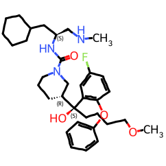 CNC[C@H](CC1CCCCC1)NC(=O)N1CCC[C@@H]([C@@](O)(CCCCOC)c2cc(F)ccc2Oc2ccccc2)C1